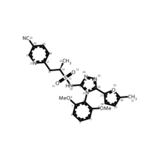 COc1cccc(OC)c1-n1c(NS(=O)(=O)[C@H](C)Cc2ccc(C#N)cn2)nnc1-c1ccc(C)o1